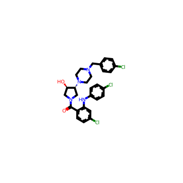 O=C(c1ccc(Cl)cc1Nc1ccc(Cl)cc1)N1C[C@@H](O)[C@H](N2CCN(Cc3ccc(Cl)cc3)CC2)C1